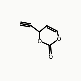 C#CC1C=COC(=O)O1